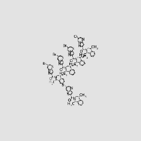 CC1CN(C(=O)c2cc3ncc(Br)cn3n2)C(C)c2ccccc21.CC1CN(C(=O)c2cc3ncc(Br)cn3n2)C(C)c2ccccc21.CC1CN(C(=O)c2cc3ncc(Br)cn3n2)C(C)c2ccccc21.CC1CN(C(=O)c2cc3ncc(Br)cn3n2)C(C)c2ccccc21.CC1CN(C(=O)c2cc3ncc(Cl)cn3n2)C(C)c2ccccc21